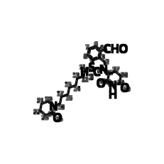 CN(Cc1c(C=O)cccc1SCCCCCCCCN1CCCCC1=O)C1CCC(=O)NC1=O